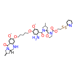 C=C1C[C@H]2CNc3cc(OCCCCCOc4cc(N)c(C(=O)N5CC(C)C[C@H]5C5OCCN5C(=O)OCCSSc5ccccn5)cc4OC)c(OC)cc3C(=O)N2C1